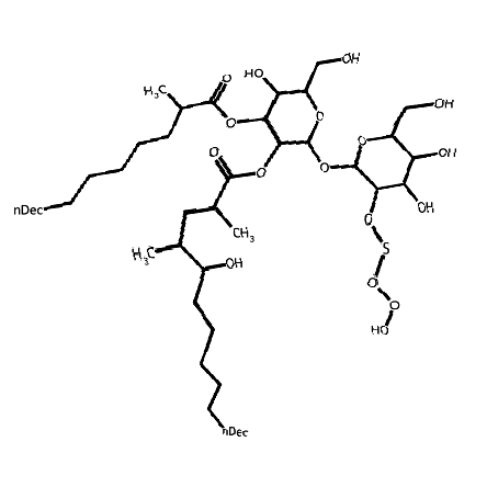 CCCCCCCCCCCCCCCC(C)C(=O)OC1C(O)C(CO)OC(OC2OC(CO)C(O)C(O)C2OSOOO)C1OC(=O)C(C)CC(C)C(O)CCCCCCCCCCCCCCC